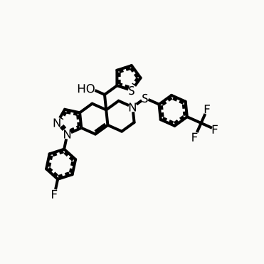 OC(c1cccs1)C12Cc3cnn(-c4ccc(F)cc4)c3C=C1CCN(Sc1ccc(C(F)(F)F)cc1)C2